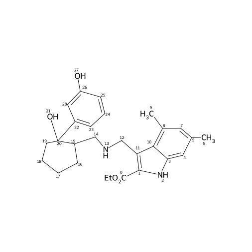 CCOC(=O)c1[nH]c2cc(C)cc(C)c2c1CNCC1CCCCC1(O)c1cccc(O)c1